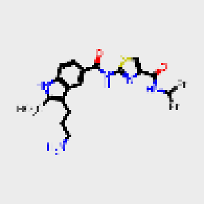 CCC(CC)NC(=O)c1csc(NC(=O)c2ccc3[nH]c(C(=O)O)c(CCCN)c3c2)n1